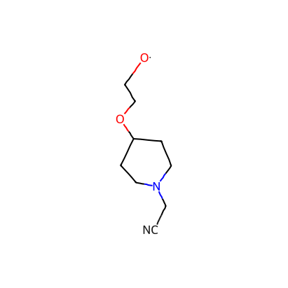 N#CCN1CCC(OCC[O])CC1